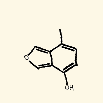 Cc1ccc(O)c2cocc12